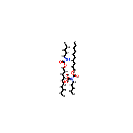 CCCCCCCCCCOC(=O)N(CCCCC)C(=O)O.CCCCCCCCCCOC(=O)NCCCCC